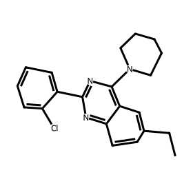 CCc1ccc2nc(-c3ccccc3Cl)nc(N3CCCCC3)c2c1